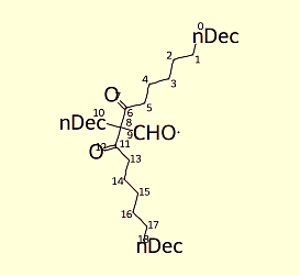 CCCCCCCCCCCCCCCC(=O)C([C]=O)(CCCCCCCCCC)C(=O)CCCCCCCCCCCCCCC